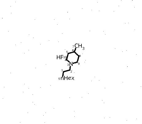 CCCCCCCCN1CCC(C)CC1.F